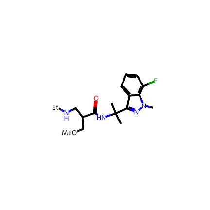 CCNCC(COC)C(=O)NC(C)(C)c1nn(C)c2c(F)cccc12